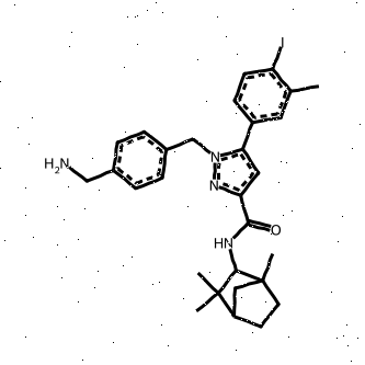 Cc1cc(-c2cc(C(=O)NC3C4(C)CCC(C4)C3(C)C)nn2Cc2ccc(CN)cc2)ccc1I